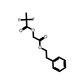 CC(F)(F)C(=O)OCC(=O)OCCc1ccccc1